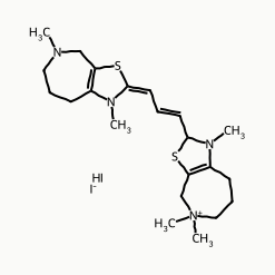 CN1CCCC2=C(C1)SC(=CC=CC1SC3=C(CCC[N+](C)(C)C3)N1C)N2C.I.[I-]